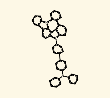 c1ccc(N(c2ccccc2)c2ccc(-c3ccc(-n4c5cccc6c7ccccc7n7c8ccccc8c8ccc4c(c65)c87)cc3)cc2)cc1